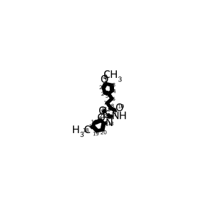 COc1ccc(CCC2C(=O)NC(=Nc3ccc(C)cc3)S2(=O)=O)cc1